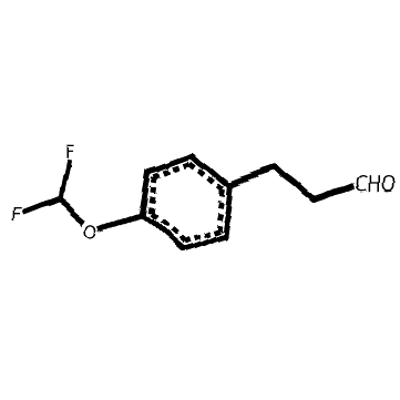 O=CCCc1ccc(OC(F)F)cc1